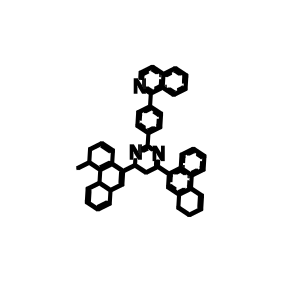 CC1CC=CC2=C1C1C=CC=CC1C=C2C1CC(c2cc3c(c4ccccc24)C=CCC3)=NC(c2ccc(-c3nccc4ccccc34)cc2)=N1